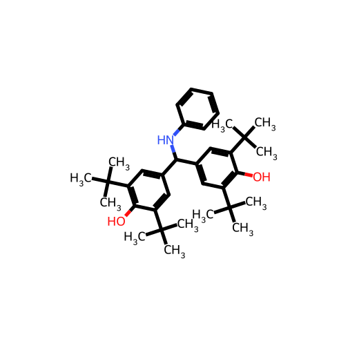 CC(C)(C)c1cc(C(Nc2ccccc2)c2cc(C(C)(C)C)c(O)c(C(C)(C)C)c2)cc(C(C)(C)C)c1O